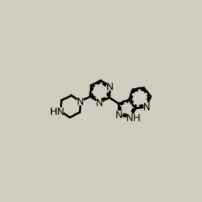 c1cnc2[nH]nc(-c3nccc(N4CCNCC4)n3)c2c1